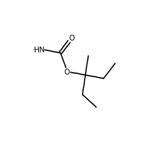 CCC(C)(CC)OC([NH])=O